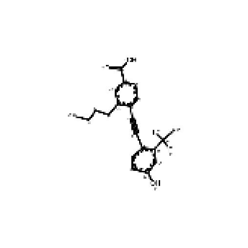 O=C(O)c1ccc(C#Cc2ccc(O)cc2C(F)(F)F)c(CCCF)c1